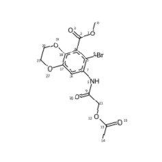 COC(=O)c1c(Br)c(NC(=O)COC(C)=O)cc2c1OCCO2